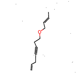 C=CCC#CCCOCC=CC